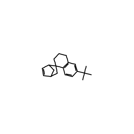 CC(C)(C)c1ccc2c(c1)CCCC21CC2C=CC1C2